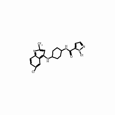 CCn1nccc1C(=O)NC1CCC(Nc2cc(C(F)(F)F)nc3ccc(Cl)cc23)CC1